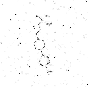 BC(CCCC)(CCCN1CCC(c2ccc(OC)cc2)CC1)C(=O)O